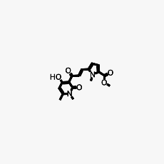 COC(=O)c1ccc(/C=C/C(=O)c2c(O)cc(C)n(C)c2=O)n1C